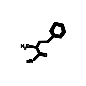 CCCC(=O)C(C)CCc1ccccc1